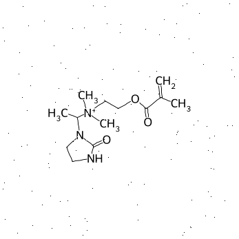 C=C(C)C(=O)OCC[N+](C)(C)C(C)N1CCNC1=O